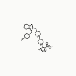 Cn1cnc([N+](=O)[O-])c1N1CCC(N2CCC(Cc3nc4ccccc4n3Cc3ccc(F)cc3)CC2)CC1